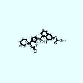 CC(C)(C)C(=O)Oc1ccc2c(C(O)C3=CCc4c3nc(Cl)nc4N3CCCCC3)cccc2c1